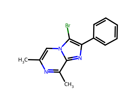 Cc1cn2c(Br)c(-c3ccccc3)nc2c(C)n1